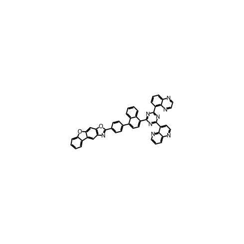 c1cc(-c2nc(-c3ccc(-c4ccc(-c5nc6cc7c(cc6o5)oc5ccccc57)cc4)c4ccccc34)nc(-c3ccnc4cccnc34)n2)c2nccnc2c1